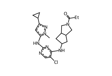 CCC(=O)N1CC2CC(Nc3nc(Nc4cc(C5CC5)nn4C)ncc3Cl)CC2C1